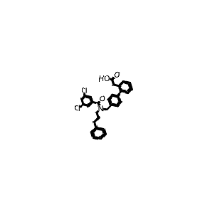 O=C(O)Cc1ccccc1-c1ccc(CN(CCCc2ccccc2)C(=O)c2cc(Cl)cc(Cl)c2)cc1